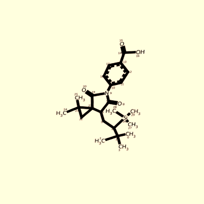 CC(C)(C)C(CC1C(=O)N(c2ccc(C(=O)O)cc2)C(=O)C12CC2(C)C)[Si](C)(C)C